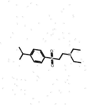 CCN(CC)CCS(=O)(=O)c1ccc(C(C)C)cc1